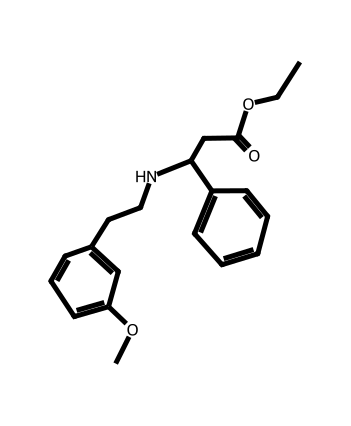 CCOC(=O)CC(NCCc1cccc(OC)c1)c1ccccc1